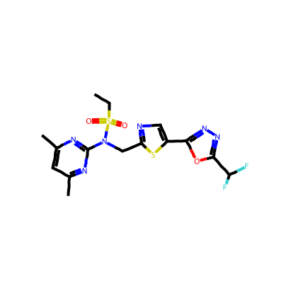 CCS(=O)(=O)N(Cc1ncc(-c2nnc(C(F)F)o2)s1)c1nc(C)cc(C)n1